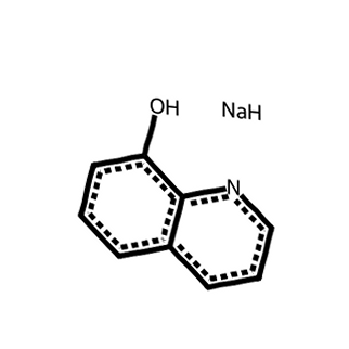 Oc1cccc2cccnc12.[NaH]